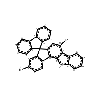 Brc1ccc2c(c1)C1(c3ccccc3-c3ccccc31)c1cc(Br)c3c(sc4ccccc43)c1-2